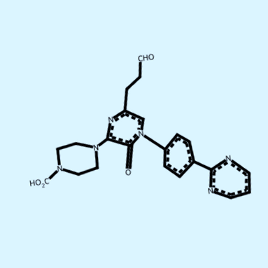 O=CCCc1cn(-c2ccc(-c3ncccn3)cc2)c(=O)c(N2CCN(C(=O)O)CC2)n1